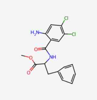 COC(=O)C(Cc1ccccc1)NC(=O)c1cc(Cl)c(Cl)cc1N